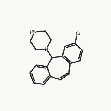 Clc1ccc2c(c1)C(N1CCNCC1)c1ccccc1C=C2